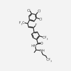 CC(NCCC(F)(F)F)NC(=O)c1ccc(/C(F)=C/C(c2cc(Cl)c(Cl)c(Cl)c2)C(F)(F)F)cc1C(F)(F)F